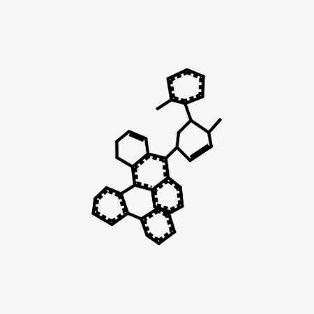 Cc1ccccc1C1CC(c2c3c(c(-c4ccccc4-c4ccccc4)c4ccccc24)CCC=C3)C=CC1C